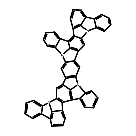 c1ccc2c(c1)c1cccc3c4c5c6ccccc6n6c7cc8c9cc%10c(c%11cccc%12c%13ccccc%13n%10c%12%11)c%10c%11ccccc%11n(c8cc7c(cc4n2c13)c56)c9%10